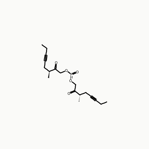 CCC#CC[C@H](C)C(=O)CO[PH](=O)OCC(=O)[C@@H](C)CC#CCC